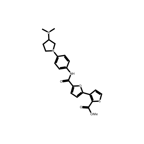 COC(=O)c1sccc1-c1ccc(C(=O)Nc2ccc(N3CCC(N(C)C)C3)cc2)o1